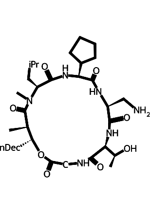 CCCCCCCCCC[C@H]1OC(=O)CNC(=O)[C@H]([C@H](C)O)NC(=O)[C@H](CN)NC(=O)[C@H](C2CCCC2)NC(=O)[C@H](CC(C)C)N(C)C(=O)[C@@H]1C